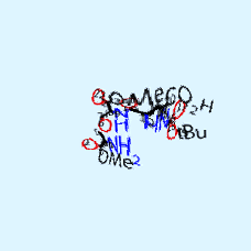 COC(=O)[C@H](N)COC[C@H](NC(=O)CC[C@@H](NC(=O)OC(C)(C)C)C(=O)O)C(=O)OC